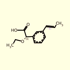 C/C=C/c1cccc([C@H](OCC)C(=O)O)c1